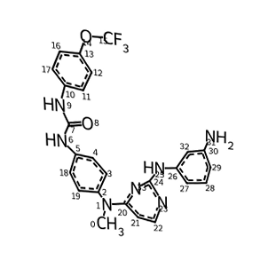 CN(c1ccc(NC(=O)Nc2ccc(OC(F)(F)F)cc2)cc1)c1ccnc(Nc2cccc(N)c2)n1